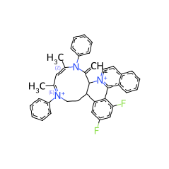 C=C1C2C(CC/[N+](c3ccccc3)=C(C)\C=C(\C)N1c1ccccc1)c1cc(F)cc(F)c1-c1c3ccccc3cc[n+]12